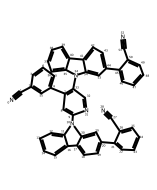 N#Cc1cccc(-c2cc(-n3c4ccccc4c4ccc(-c5ccccc5C#N)cc43)ncc2-n2c3ccccc3c3ccc(-c4ccccc4C#N)cc32)c1